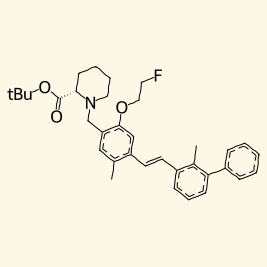 Cc1cc(CN2CCCC[C@H]2C(=O)OC(C)(C)C)c(OCCF)cc1/C=C/c1cccc(-c2ccccc2)c1C